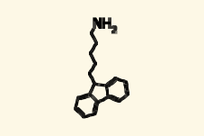 NCCCCCC1c2ccccc2-c2ccccc21